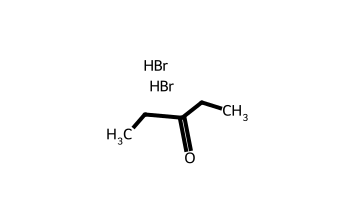 Br.Br.CCC(=O)CC